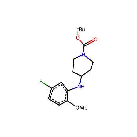 COc1ccc(F)cc1NC1CCN(C(=O)OC(C)(C)C)CC1